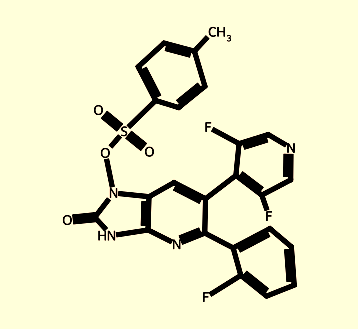 Cc1ccc(S(=O)(=O)On2c(=O)[nH]c3nc(-c4ccccc4F)c(-c4c(F)cncc4F)cc32)cc1